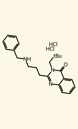 CC(C)(C)Cn1c(CCCNCc2ccccc2)nc2ccccc2c1=O.Cl.Cl